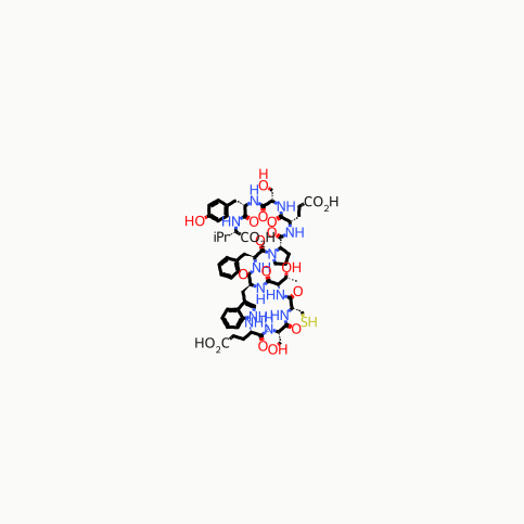 CC(C)[C@H](NC(=O)[C@H](Cc1ccc(O)cc1)NC(=O)[C@H](CO)NC(=O)[C@H](CCC(=O)O)NC(=O)[C@@H]1CCCN1C(=O)[C@H](Cc1ccccc1)NC(=O)[C@H](Cc1c[nH]c2ccccc12)NC(=O)[C@@H](NC(=O)[C@H](CS)NC(=O)[C@H](CO)NC(=O)[C@@H](N)CCC(=O)O)[C@@H](C)O)C(=O)O